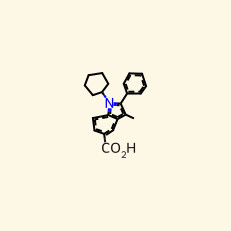 Cc1c(-c2ccccc2)n(C2CCCCC2)c2ccc(C(=O)O)cc12